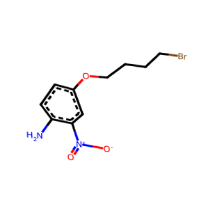 Nc1ccc(OCCCCBr)cc1[N+](=O)[O-]